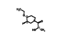 CCO[C@@H]1CCN(C(=O)[C@H](C)O)C[C@H]1F